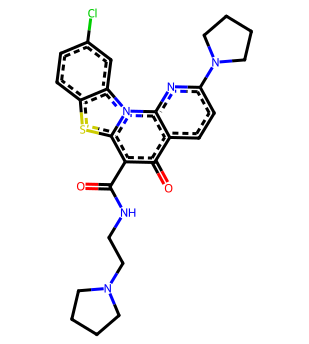 O=C(NCCN1CCCC1)c1c(=O)c2ccc(N3CCCC3)nc2n2c1sc1ccc(Cl)cc12